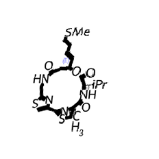 CSCC/C=C/C1CC(=O)NCc2nc(cs2)C2=N[C@@](C)(CS2)C(=O)N[C@@H](C(C)C)C(=O)O1